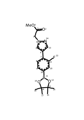 COC(=O)Cn1cc(-c2ccc(B3OC(C)(C)C(C)(C)O3)cc2F)cn1